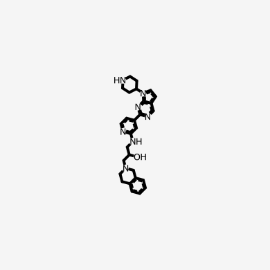 OC(CNc1cc(-c2ncc3ccn(C4CCNCC4)c3n2)ccn1)CN1CCc2ccccc2C1